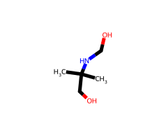 CC(C)(CO)NCO